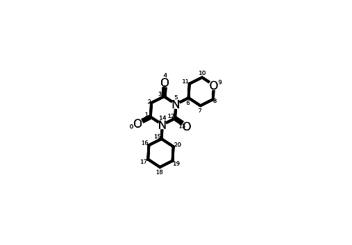 O=C1CC(=O)N(C2CCOCC2)C(=O)N1C1CCCCC1